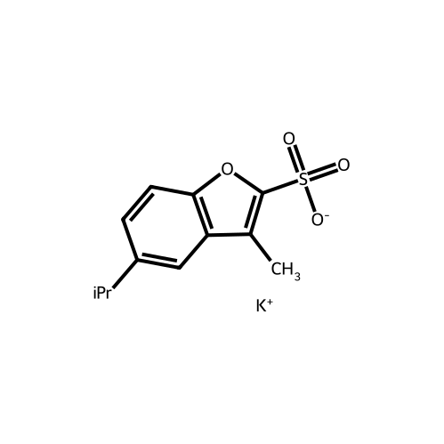 Cc1c(S(=O)(=O)[O-])oc2ccc(C(C)C)cc12.[K+]